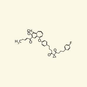 CC/C=C/C(=O)c1cc2c(cc1OC)C=C=CC=C2Oc1ccc(CCCC(=O)C2(C(=O)CCCc3ccc(F)cc3)CC2)cc1